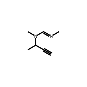 C#CC(C)N(C)/C=N/C